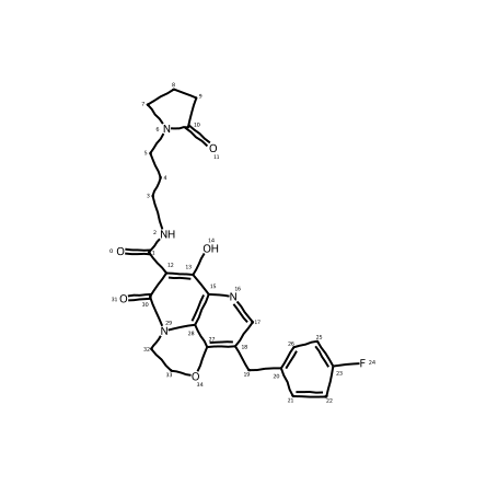 O=C(NCCCN1CCCC1=O)c1c(O)c2ncc(Cc3ccc(F)cc3)c3c2n(c1=O)CCO3